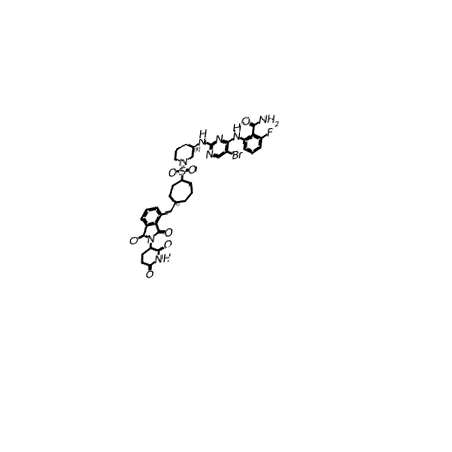 NC(=O)c1c(F)cccc1Nc1nc(N[C@@H]2CCCN(S(=O)(=O)C3CCC[C@@H](Cc4cccc5c4C(=O)N(C4CCC(=O)NC4=O)C5=O)CC3)C2)ncc1Br